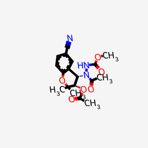 COC(=O)NN(C(C)=O)[C@H]1c2cc(C#N)ccc2OC(C)(C)[C@@H]1OC(C)=O